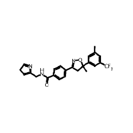 Cc1cc(C(F)(F)F)cc(C2(C)CC(c3ccc(C(=O)NCC4=CCC=N4)cc3)=NO2)c1